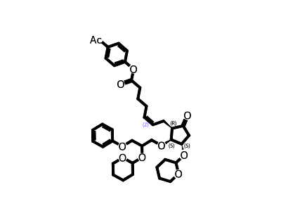 CC(=O)c1ccc(OC(=O)CCC/C=C\C[C@H]2C(=O)C[C@H](OC3CCCCO3)[C@H]2OCC(COc2ccccc2)OC2CCCCO2)cc1